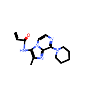 C=CC(=O)Nc1c(C)nc2c(N3CCCCC3)nccn12